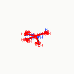 COP(=O)(O)OC[C@@H]1CC(O)CN1C(=O)CCCCCCCCCCC(=O)NC(COCCC(=O)NCCCNC(=O)CCCCOC(OC(C)CO)C(NC(C)=O)C(O)O)(COCCC(=O)NCCCNC(=O)CCCCOC1OC(CO)(CO)CC(O)C1NC(C)=O)COCCC(=O)NCCCNC(=O)CCCCOC1OC(CO)C(O)C(O)C1NC(C)=O